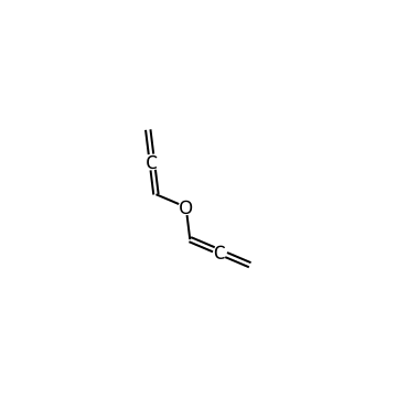 C=C=COC=C=C